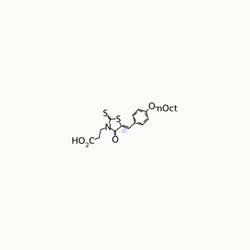 CCCCCCCCOc1ccc(/C=C2\SC(=S)N(CCC(=O)O)C2=O)cc1